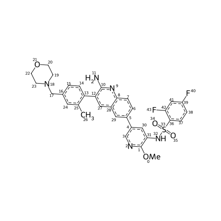 COc1ncc(-c2ccc3nc(N)c(-c4ccc(CN5CCOCC5)cc4C)cc3c2)cc1NS(=O)(=O)c1ccc(F)cc1F